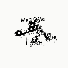 COC(=O)C(C(=O)OC)C(CS(=O)(=O)N(COCC[Si](C)(C)C)COCC[Si](C)(C)C)c1ccc(CCCc2ccccc2)cc1